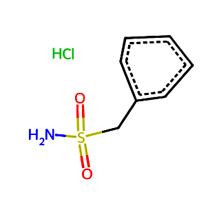 Cl.NS(=O)(=O)Cc1ccccc1